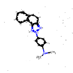 CN(C)c1ccc(-n2nc3ccc4ccccc4c3n2)cc1